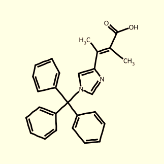 C/C(C(=O)O)=C(/C)c1cn(C(c2ccccc2)(c2ccccc2)c2ccccc2)cn1